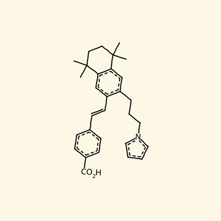 CC1(C)CCC(C)(C)c2cc(CCCn3cccc3)c(/C=C/c3ccc(C(=O)O)cc3)cc21